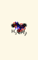 CC(C)(C)OC(=O)N[C@@H](Cc1cc2cnn(S(=O)(=O)c3ccccc3)c2cn1)CN1C(=O)c2ccccc2C1=O